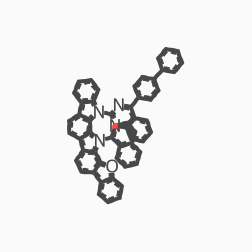 c1ccc(-c2ccc(-c3nc(-n4c5ccccc5c5ccc6c7ccc8c9ccccc9oc8c7n(-c7cccc8ccccc78)c6c54)nc4ccccc34)cc2)cc1